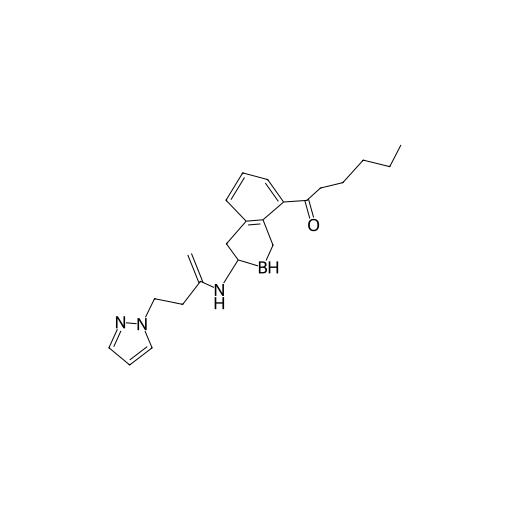 C=C(CCn1cccn1)NC1BCc2c(cccc2C(=O)CCCCC)C1